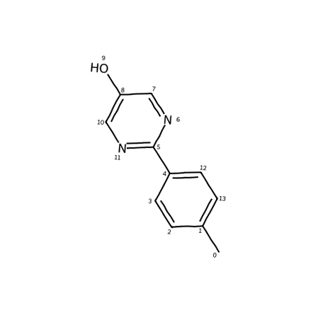 Cc1ccc(-c2ncc(O)cn2)cc1